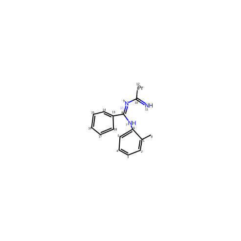 Cc1ccccc1N/C(=N\C(=N)C(C)C)c1ccccc1